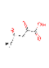 CC(=O)[CH]C(=O)C(=O)O